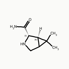 CC1(C)C2CN[C@H](C(N)=O)[C@H]21